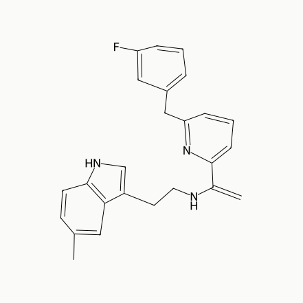 C=C(NCCc1c[nH]c2ccc(C)cc12)c1cccc(Cc2cccc(F)c2)n1